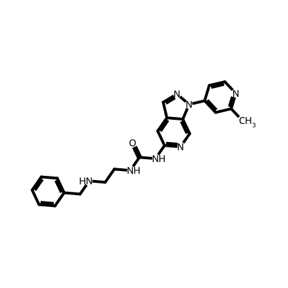 Cc1cc(-n2ncc3cc(NC(=O)NCCNCc4ccccc4)ncc32)ccn1